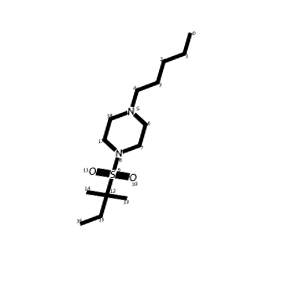 CCCCCN1CCN(S(=O)(=O)C(C)(C)CC)CC1